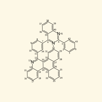 c1ccc(-c2nc(-c3cccc(-c4nc5ccccc5c5c6ccccc6c6ccccc6c45)c3)c3ccccc3n2)cc1